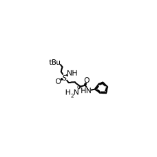 CC(C)(C)CCS(=N)(=O)CC[C@H](N)C(=O)Nc1ccccc1